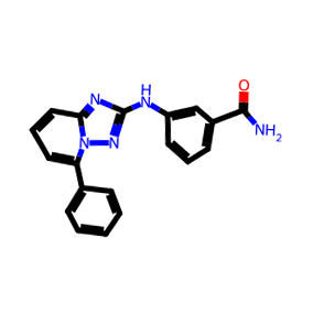 NC(=O)c1cccc(Nc2nc3cccc(-c4ccccc4)n3n2)c1